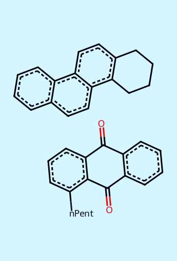 CCCCCc1cccc2c1C(=O)c1ccccc1C2=O.c1ccc2c(c1)ccc1c3c(ccc12)CCCC3